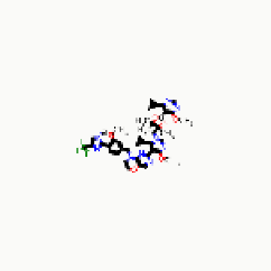 COc1cc(CN2CCOc3cnc(-c4c(OC)nc[n+](CC5(C)OB(c6c(OC)ncnc6C6CC6)OC5(C)C)c4C4CC4)nc32)ccc1-c1nc(C(F)(F)F)cn1C